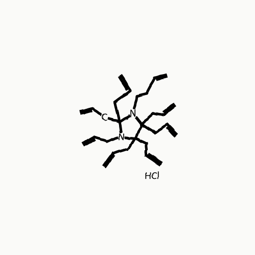 C=CCCN1C(CC=C)(CC=C)N(CC=C)C(CC=C)(CC=C)C1(CC=C)CC=C.Cl